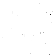 CN1Cc2cnc(N(C)C)cc2C1